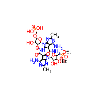 CCOP(=O)(CC1O[C@@H](n2cc(C(=O)NO[C@@H]3[C@H](O)[C@@H](OCP(=O)(O)O)O[C@H]3n3cc(C(N)=O)c4c(N)nc(C)nc43)c3c(N)nc(C)nc32)[C@H](O)[C@@H]1O)OCC